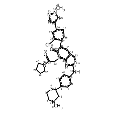 CN1CCSC(c2ccc(Nc3ncc4cc(-c5ccc(-c6nnn(C)n6)cc5Cl)c(=O)n(CC(=O)N5CCCC5)c4n3)cc2)C1